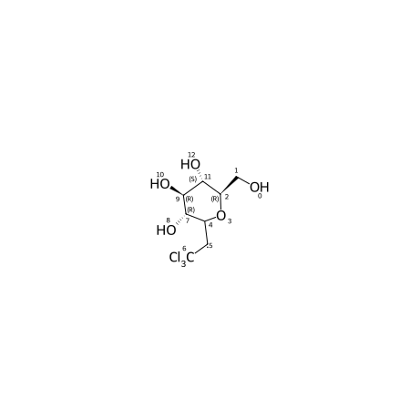 OC[C@H]1OC([CH]C(Cl)(Cl)Cl)[C@H](O)[C@@H](O)[C@@H]1O